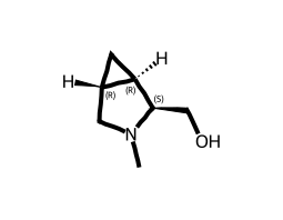 CN1C[C@@H]2C[C@H]2[C@H]1CO